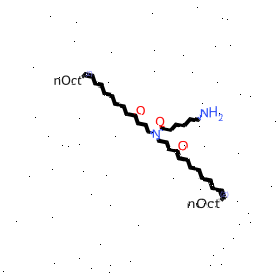 CCCCCCCC/C=C\CCCCCCCC(=O)CCCN(CCCC(=O)CCCCCCC/C=C\CCCCCCCC)C(=O)CCCCCN